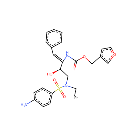 CC(C)CN(C[C@@H](O)/C(=C/c1ccccc1)NC(=O)OCc1ccoc1)S(=O)(=O)c1ccc(N)cc1